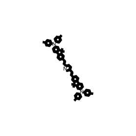 Cc1ccc(N(c2ccc(C)cc2)c2ccc3c(c2)C(C)(C)c2cc(/C=C/c4ccc(/C=C/c5ccc6c(c5)C(C)(C)c5cc(N(c7ccc(C)cc7)c7ccc(C)cc7)ccc5-6)nc4)ccc2-3)cc1